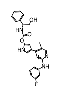 Cc1cnc(Nc2cccc(F)c2)nc1-c1c[nH]c(OC(=O)NC(CO)c2ccccc2)c1